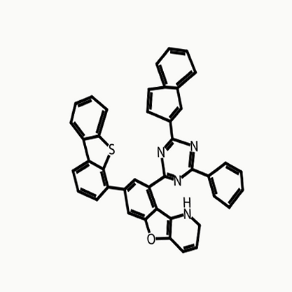 C1=Cc2oc3cc(-c4cccc5c4sc4ccccc45)cc(-c4nc(-c5ccccc5)nc(-c5ccc6ccccc6c5)n4)c3c2NC1